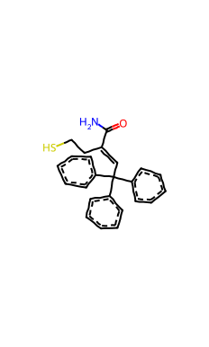 NC(=O)C(=CC(c1ccccc1)(c1ccccc1)c1ccccc1)CCS